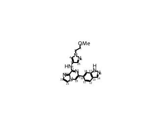 COCCn1cc(Nc2nc(-c3ccc4cn[nH]c4c3)cn3ccnc23)cn1